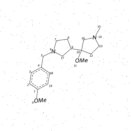 COc1ccc(CN2CCC(C3(OC)CCN(C)C3)C2)cc1